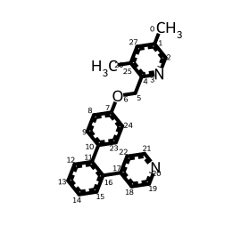 Cc1cnc(COc2ccc(-c3ccccc3-c3ccncc3)cc2)c(C)c1